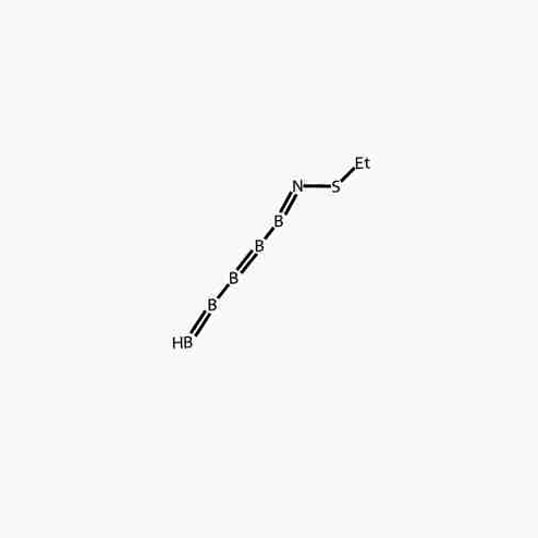 B=BB=BB=NSCC